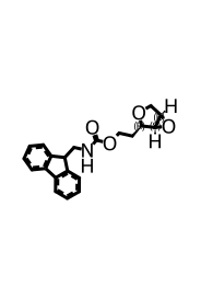 O=C(NCC1c2ccccc2-c2ccccc21)OCC[C@H]1OC[C@H]2O[C@@H]12